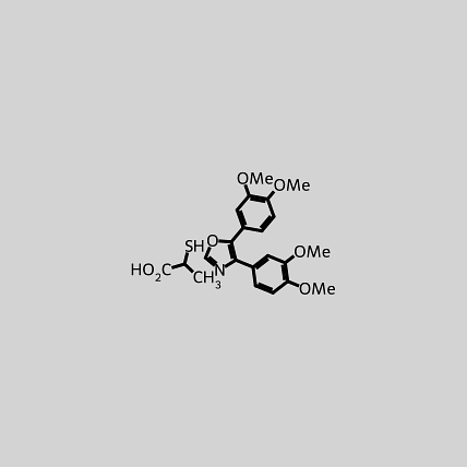 CC(S)C(=O)O.COc1ccc(-c2ncoc2-c2ccc(OC)c(OC)c2)cc1OC